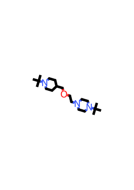 CC(C)(C)N1CCC(COCCN2CCN(C(C)(C)C)CC2)CC1